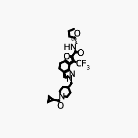 O=C(NC[C@@H]1CCCO1)c1oc2c(c1C(F)(F)F)-c1nn(CC3CCN(C(=O)C4CC4)CC3)cc1CC2